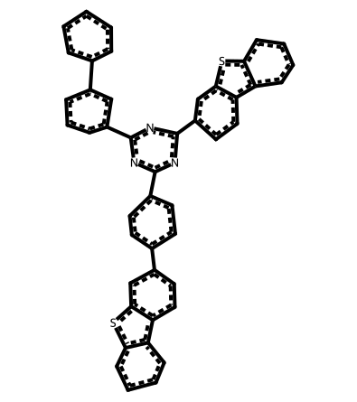 c1ccc(-c2cccc(-c3nc(-c4ccc(-c5ccc6c(c5)sc5ccccc56)cc4)nc(-c4ccc5c(c4)sc4ccccc45)n3)c2)cc1